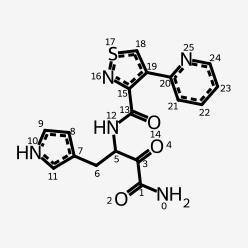 NC(=O)C(=O)C(Cc1cc[nH]c1)NC(=O)c1nscc1-c1ccccn1